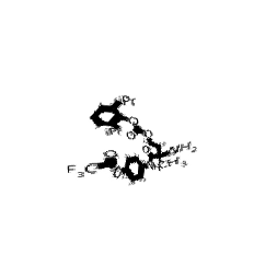 CC(C)c1cccc(C(C)C)c1OC(=O)OCC[C@](C)(N)C(=O)Nc1ccc(OC(=O)C(F)(F)F)cc1